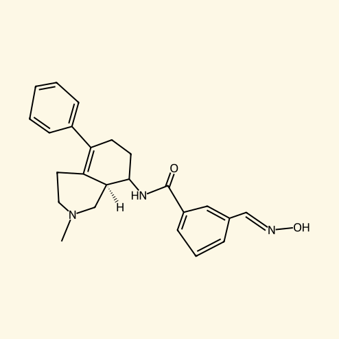 CN1CCC2=C(c3ccccc3)CCC(NC(=O)c3cccc(/C=N/O)c3)[C@H]2C1